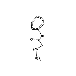 NNCC(=O)Nc1ccccc1